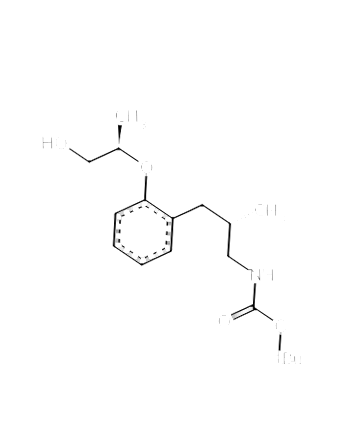 C[C@H](CNC(=O)OC(C)(C)C)Cc1ccccc1O[C@H](C)CO